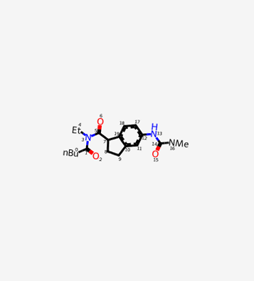 CCCCC(=O)N(CC)C(=O)C1CCc2cc(NC(=O)NC)ccc21